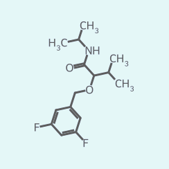 CC(C)NC(=O)C(OCc1cc(F)cc(F)c1)C(C)C